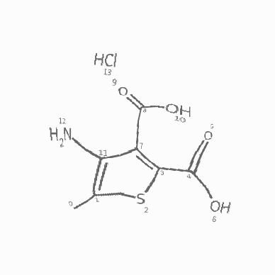 Cc1sc(C(=O)O)c(C(=O)O)c1N.Cl